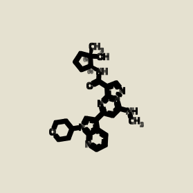 CNc1cc(-c2cn(C3CCOCC3)c3ncccc23)nc2c(C(=O)N[C@H]3CCC[C@]3(C)O)cnn12